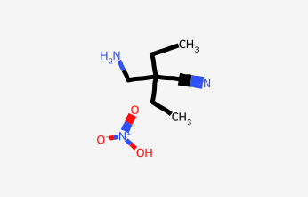 CCC(C#N)(CC)CN.O=[N+]([O-])O